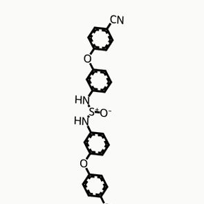 N#Cc1ccc(Oc2cccc(N[S+]([O-])Nc3cccc(Oc4ccc(C#N)cc4)c3)c2)cc1